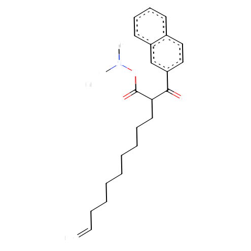 C=CCCCCCCCCC(C(=O)ON(C(C)C)C(C)C)C(=O)c1ccc2ccccc2c1.[LiH]